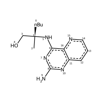 CCCC[C@@](C)(CO)Nc1nc(N)nc2cccnc12